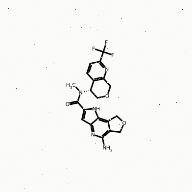 CN(C(=O)c1cc2nc(N)c3c(c2[nH]1)COC3)[C@H]1COCc2nc(C(F)(F)F)ccc21